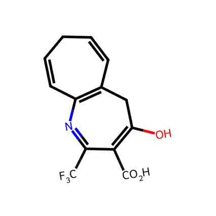 O=C(O)C1=C(O)CC2=C(C=CCC=C2)N=C1C(F)(F)F